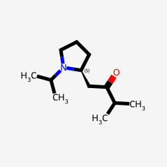 CC(C)C(=O)C[C@@H]1CCCN1C(C)C